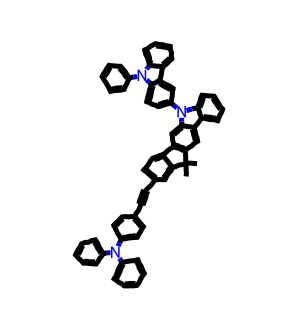 CC1(C)c2cc(C#Cc3ccc(N(c4ccccc4)c4ccccc4)cc3)ccc2-c2cc3c(cc21)c1ccccc1n3-c1ccc2c(c1)c1ccccc1n2-c1ccccc1